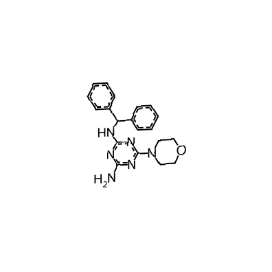 Nc1nc(NC(c2ccccc2)c2ccccc2)nc(N2CCOCC2)n1